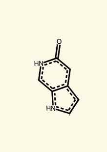 O=c1cc2c[c][nH]c2c[nH]1